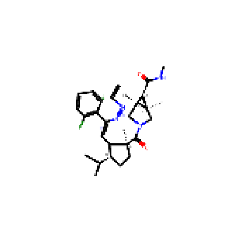 C=C/N=N\C(=C/C1[C@H](C(C)C)CC[C@]1(C)C(=O)N1C[C@@H]2[C@H](C1)[C@@H]2C(=O)NC)c1c(F)cccc1F